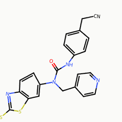 N#CCc1ccc(NC(=O)N(Cc2ccncc2)c2ccc3nc(S)sc3c2)cc1